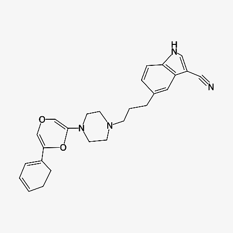 N#Cc1c[nH]c2ccc(CCCN3CCN(C4=COC=C(C5=CC=CCC5)O4)CC3)cc12